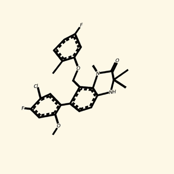 COc1cc(F)c(Cl)cc1-c1ccc2c(c1COc1cc(F)ccc1C)N(C)C(=O)C(C)(C)N2